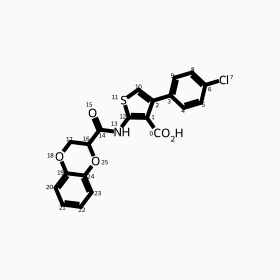 O=C(O)c1c(-c2ccc(Cl)cc2)csc1NC(=O)C1COc2ccccc2O1